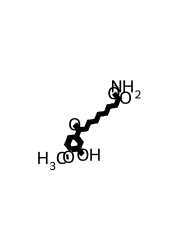 COc1ccc(C(=O)CCCCCCCC(=O)ON)cc1O